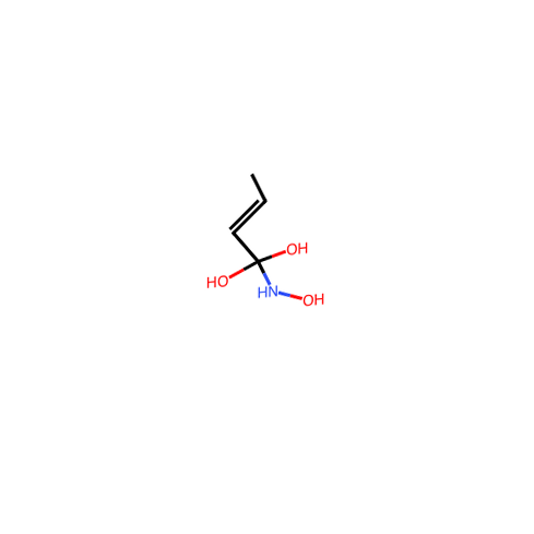 CC=CC(O)(O)NO